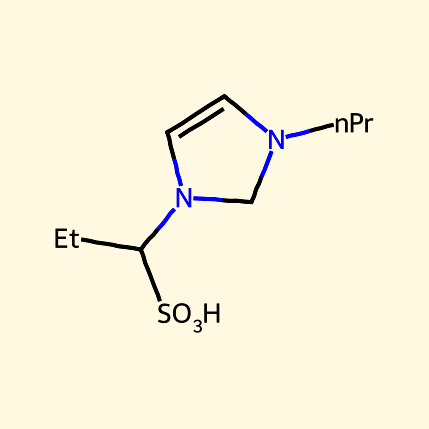 CCCN1C=CN(C(CC)S(=O)(=O)O)C1